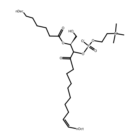 CCCCCCCC/C=C\CCCCCCCC(=O)C(OP(=O)([O-])OCC[N+](C)(C)C)[C@H](CO)OC(=O)CCCCCCCCCCCCCCC